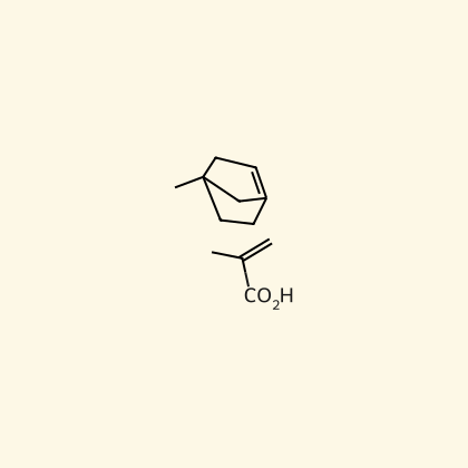 C=C(C)C(=O)O.CC12CC=C(CC1)C2